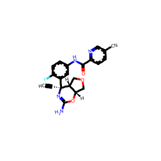 C#C[C@@]1(c2cc(NC(=O)c3ccc(C#N)cn3)ccc2F)N=C(N)O[C@H]2COC[C@H]21